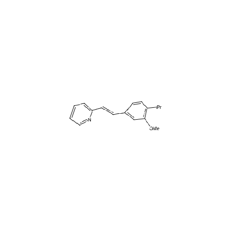 COc1cc(/C=C/c2ccccn2)ccc1C(C)C